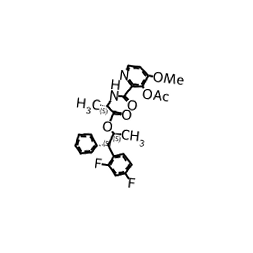 COc1ccnc(C(=O)N[C@@H](C)C(=O)O[C@@H](C)[C@@H](c2ccccc2)c2ccc(F)cc2F)c1OC(C)=O